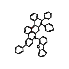 c1ccc(-c2ccc(N(c3ccc4c(c3)c(-c3ccccc3)c(-c3ccccc3)c3ccccc34)c3cccc4c3oc3ccccc34)c(-c3ccccc3)c2)cc1